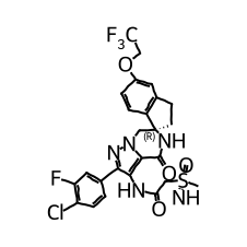 CS(=N)(=O)CC(=O)Nc1c(-c2ccc(Cl)c(F)c2)nn2c1C(=O)N[C@@]1(CCc3cc(OCC(F)(F)F)ccc31)C2